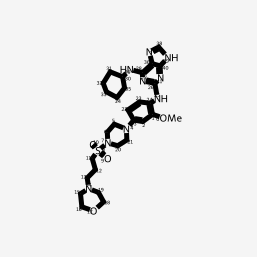 COc1cc(N2CCN(S(=O)(=O)CCCN3CCOCC3)CC2)ccc1Nc1nc(NC2CCCCC2)c2nc[nH]c2n1